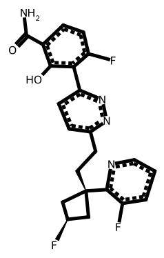 NC(=O)c1ccc(F)c(-c2ccc(CC[C@]3(c4ncccc4F)C[C@H](F)C3)nn2)c1O